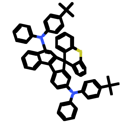 CC(C)(C)c1ccc(N(c2ccccc2)c2ccc3c(c2)C2(c4ccccc4Sc4ccccc42)c2cc(N(c4ccccc4)c4ccc(C(C)(C)C)cc4)c4ccccc4c2-3)cc1